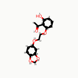 CC(=O)c1c(O)cccc1OCCOc1ccc2c(c1)OCO2